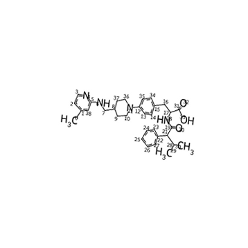 Cc1ccnc(NCC2CCN(c3ccc(CC(NC(=O)C(c4ccccc4)C(C)C)C(=O)O)cc3)CC2)c1